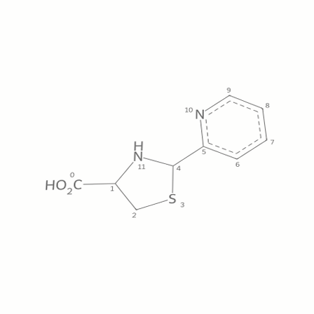 O=C(O)C1CSC(c2ccccn2)N1